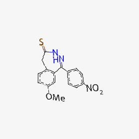 COc1ccc2c(c1)C(c1ccc([N+](=O)[O-])cc1)=NNC(=S)C2